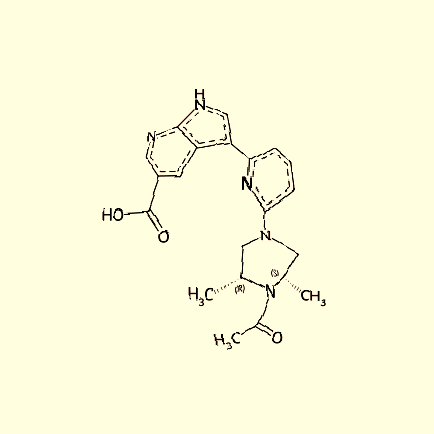 CC(=O)N1[C@H](C)CN(c2cccc(-c3c[nH]c4ncc(C(=O)O)cc34)n2)C[C@@H]1C